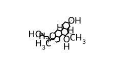 CC[C@H]1[C@@H]2C[C@@H](O)CC[C@@H]2C2CC[C@@]3(C)C(CC[C@@H]3[C@H](C)CCCO)C2[C@@H]1O